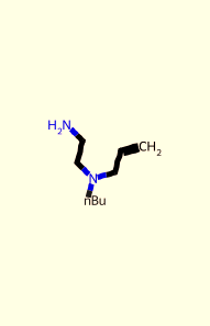 C=CCN(CCN)CCCC